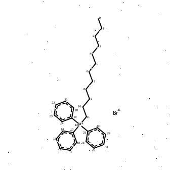 CCCCCCCCCCCC[P+](c1ccccc1)(c1ccccc1)c1ccccc1.[Br-]